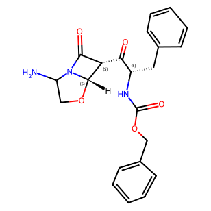 NC1CO[C@H]2[C@@H](C(=O)[C@H](Cc3ccccc3)NC(=O)OCc3ccccc3)C(=O)N12